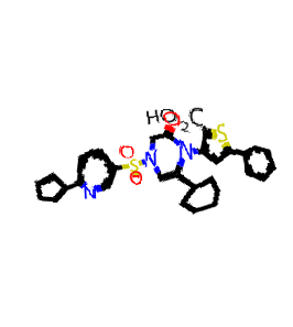 O=C(O)c1sc(-c2ccccc2)cc1N1C(=O)CN(S(=O)(=O)c2ccc(C3=CCCC3)nc2)CC1C1CCCCC1